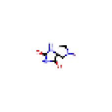 O=C1NC(=O)[C@@]2(CCN(I)C2)N1